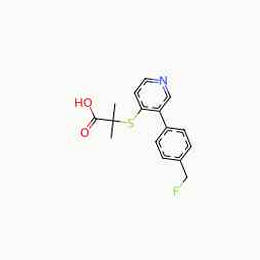 CC(C)(Sc1ccncc1-c1ccc(CF)cc1)C(=O)O